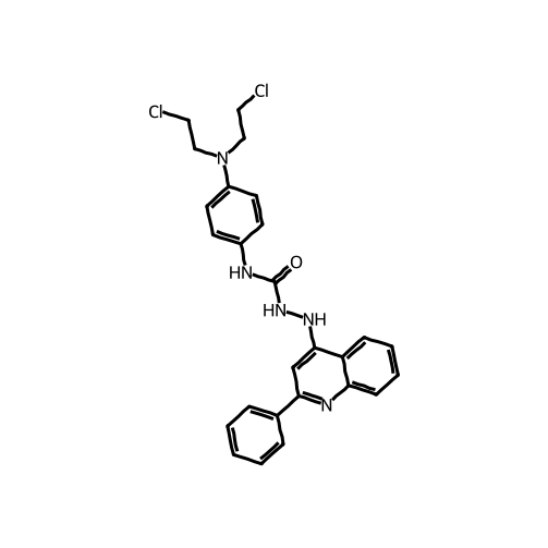 O=C(NNc1cc(-c2ccccc2)nc2ccccc12)Nc1ccc(N(CCCl)CCCl)cc1